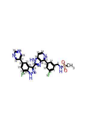 CS(=O)(=O)NCc1cc(F)cc(-c2nccc3[nH]c(-c4n[nH]c5c(F)cc(-c6cncnc6)cc45)nc23)c1